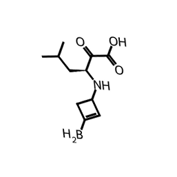 BC1=CC(N[C@@H](CC(C)C)C(=O)C(=O)O)C1